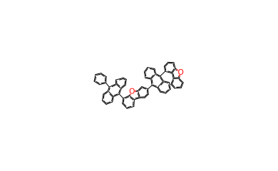 c1ccc(-c2c3ccccc3c(-c3cccc4c3oc3cc(-c5c6ccccc6c(-c6cccc7oc8ccccc8c67)c6ccccc56)ccc34)c3ccccc23)cc1